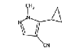 Cn1n[c]c(C#N)c1C1CC1